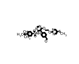 CSc1cnc(OCCOc2ncnc(NS(=O)(=O)c3ccc(C(C)(C)C)cc3)c2-c2ccc(C=O)cc2)nc1